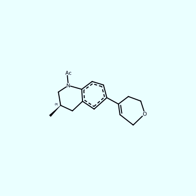 CC(=O)N1C[C@H](C)Cc2cc(C3=CCOCC3)ccc21